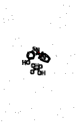 CC(C)(C)N1C2CCC1CC(c1nsc3ccc(O)cc13)C2.O=C(O)C(=O)O